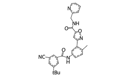 Cc1ccc(NC(=O)c2cc(C#N)cc(C(C)(C)C)c2)cc1-c1cc(C(=O)NCc2ccccn2)on1